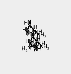 CCNCCN(CCNCCN)CCNCCN(CCNCCN)CCNCCN(CCNCCN)CCNCCN(CCNCCN)CCN(CCNCC)CCNCCN